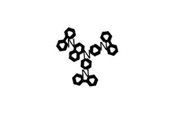 c1ccc2c(-n3c4ccccc4c4ccccc43)ccc(N(c3ccc(-n4c5ccccc5c5ccccc54)cc3)c3ccc(-n4c5ccccc5c5ccccc54)cc3)c2c1